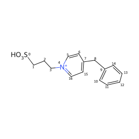 O=S(=O)(O)CCC[n+]1ccc(Cc2ccccc2)cc1